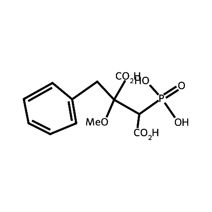 COC(Cc1ccccc1)(C(=O)O)C(C(=O)O)P(=O)(O)O